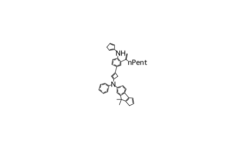 C=C(CCCCC)c1cc(C2=C=C(N(c3ccccc3)c3ccc4c(c3)C(C)(C)C3=C4C=CC3)C2)ccc1NC1=CCC=C1